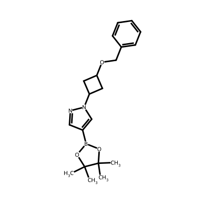 CC1(C)OB(c2cnn(C3CC(OCc4ccccc4)C3)c2)OC1(C)C